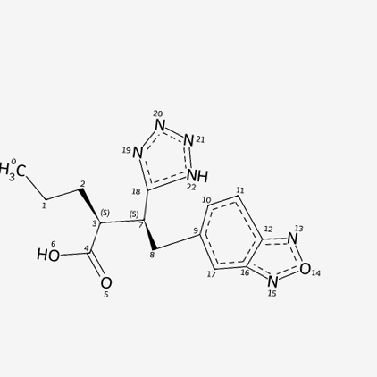 CCC[C@H](C(=O)O)[C@H](Cc1ccc2nonc2c1)c1nnn[nH]1